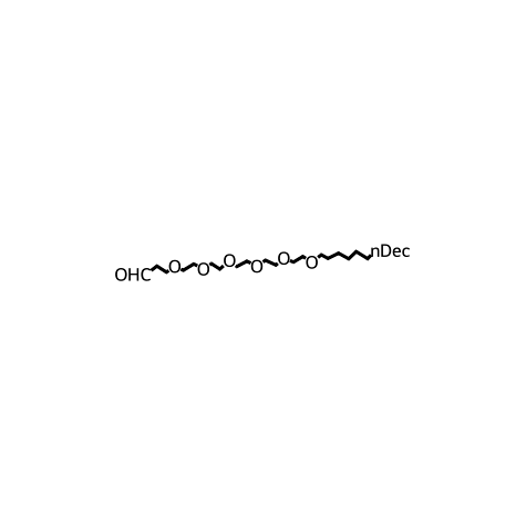 CCCCCCCCCCCCCCCCOCCOCCOCCOCCOCCOCCC=O